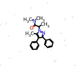 Cc1c(-c2ccccc2)c(-c2ccccc2)nn1C(C)C(=O)N(C)C